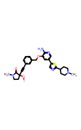 CN1CCC(c2ncc(-c3cnc(N)c(OCc4cccc(C#CC5(OI)CCN(C)C5=O)c4)c3)s2)CC1